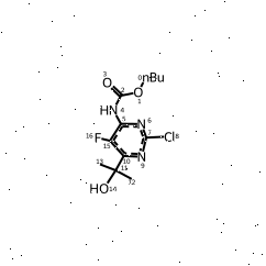 CCCCOC(=O)Nc1nc(Cl)nc(C(C)(C)O)c1F